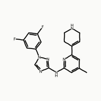 Cc1cc(Nc2ncn(-c3cc(F)cc(F)c3)n2)nc(C2=CCNCC2)c1